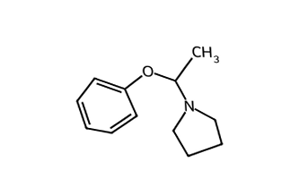 CC(Oc1ccccc1)N1CCCC1